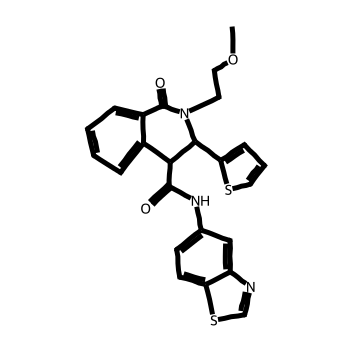 COCCN1C(=O)c2ccccc2C(C(=O)Nc2ccc3scnc3c2)C1c1cccs1